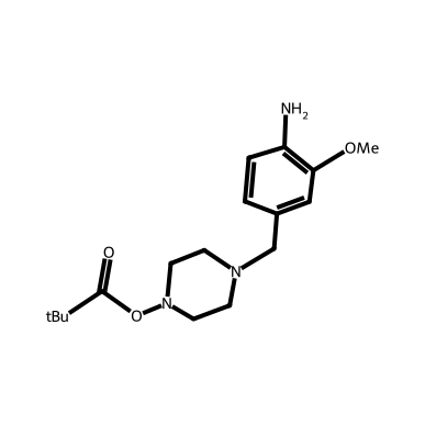 COc1cc(CN2CCN(OC(=O)C(C)(C)C)CC2)ccc1N